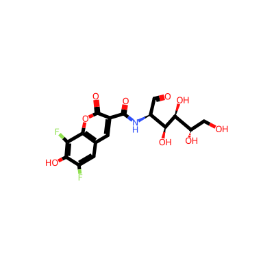 O=C[C@H](NC(=O)c1cc2cc(F)c(O)c(F)c2oc1=O)[C@H](O)[C@@H](O)[C@@H](O)CO